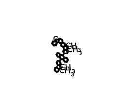 CC1(C)c2ccccc2-c2ccc(-c3c4ccccc4c(-c4ccc5c(c4)-c4cc6c(ccc7oc8ccccc8c76)cc4C5(C)C)c4ccccc34)cc21